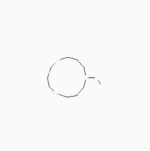 [Cl][Ti][N]1CCCNCCCNCCC1